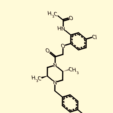 CC(=O)Nc1cc(Cl)ccc1OCC(=O)N1C[C@H](C)N(Cc2ccc(F)cc2)C[C@H]1C